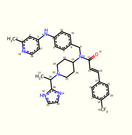 Cc1cc(Nc2ccc(CN(C(=O)C=Cc3ccc(C(F)(F)F)cc3)C3CCN(C(C)c4ncc[nH]4)CC3)cc2)ccn1